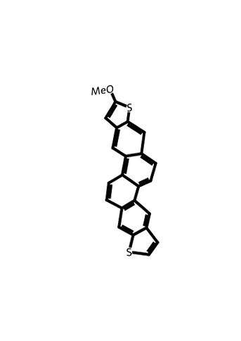 COc1cc2cc3c(ccc4c5cc6ccsc6cc5ccc34)cc2s1